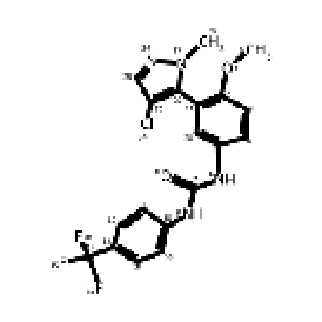 COc1ccc(NC(=O)Nc2ccc(C(F)(F)F)cc2)cc1-c1c(Cl)cnn1C